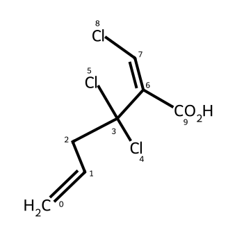 C=CCC(Cl)(Cl)C(=CCl)C(=O)O